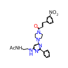 CC(=O)NCCNc1cc(N2CCN(C(=O)/C=C/c3cccc([N+](=O)[O-])c3)CC2)nc(-c2ccccc2)n1